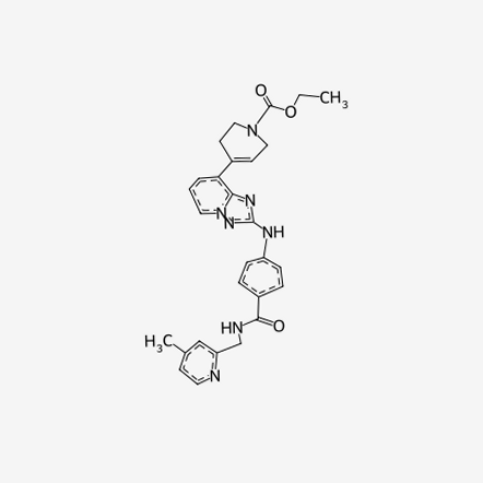 CCOC(=O)N1CC=C(c2cccn3nc(Nc4ccc(C(=O)NCc5cc(C)ccn5)cc4)nc23)CC1